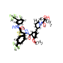 COc1ccc(C2CCCN(C(=O)C(C)(C)O)C2)cc1C(=O)Nc1c(C(=O)Nc2ccc(F)c(C(F)(F)F)c2)sc2cc(C(F)(F)F)ccc12